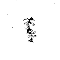 CN(C1CC1)S(=O)(=O)c1ccc(NC(=O)C2(O)CC2)s1